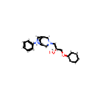 O[C@H](COC1CCCCC1)CN1CC2CC(C1)N(c1ccccc1)C2